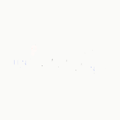 NC(=O)CCCCCc1ccccn1